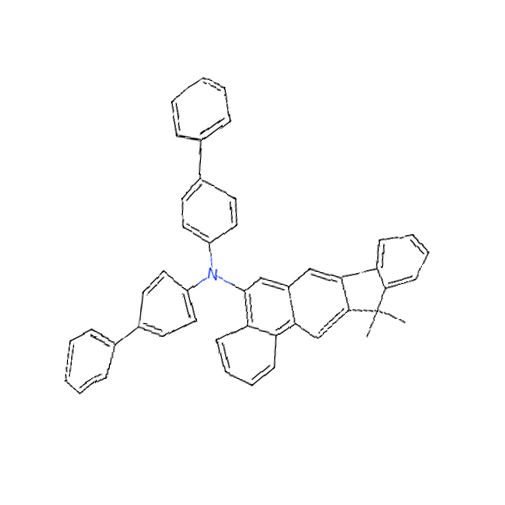 CC1(C)c2ccccc2-c2cc3cc(N(c4ccc(-c5ccccc5)cc4)c4ccc(-c5ccccc5)cc4)c4ccccc4c3cc21